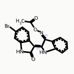 CC(=O)O/N=C1\C(=C2\C(=O)Nc3cc(Br)ccc32)Nc2ccccc21